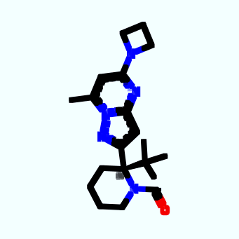 Cc1cc(N2CCC2)nc2cc([C@@]3(C(C)(C)C)CCCCN3[C]=O)nn12